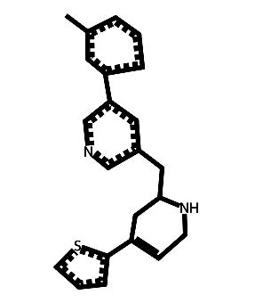 Cc1cccc(-c2cncc(CC3CC(c4cccs4)=CCN3)c2)c1